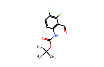 CC(C)(C)OC(=O)Nc1ccc(F)c(F)c1C=O